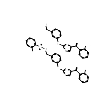 Cc1ccccc1C(=O)c1cnc(Nc2cccc(CN)c2)s1.Cc1ccccc1C(=O)c1cnc(Nc2cccc(CNS(=O)(=O)c3ccccc3F)c2)s1